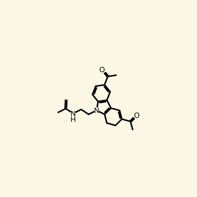 C=C(C)NCCn1c2c(c3cc(C(C)=O)ccc31)C=C(C(C)=O)CC2